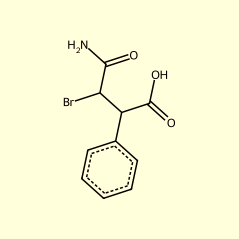 NC(=O)C(Br)C(C(=O)O)c1ccccc1